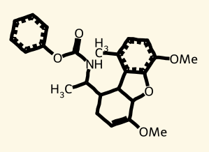 COC1=CCC(C(C)NC(=O)Oc2ccccc2)C2c3c(C)ccc(OC)c3OC12